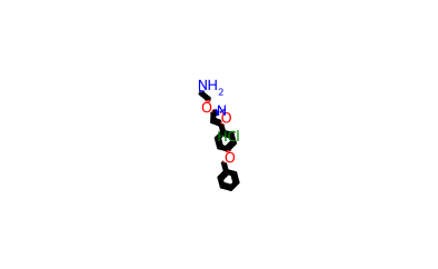 Cl.NCCOc1cc(-c2ccc(OCc3ccccc3)cc2)on1